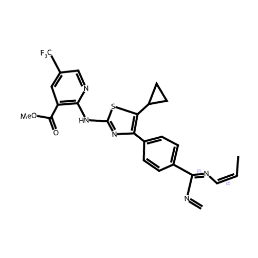 C=N/C(=N\C=C/C)c1ccc(-c2nc(Nc3ncc(C(F)(F)F)cc3C(=O)OC)sc2C2CC2)cc1